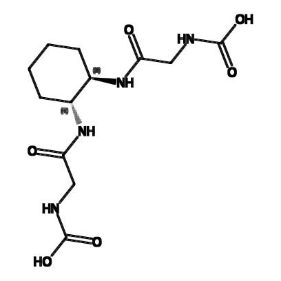 O=C(O)NCC(=O)N[C@@H]1CCCC[C@H]1NC(=O)CNC(=O)O